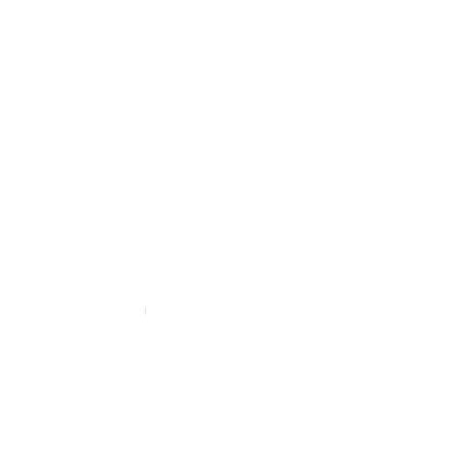 O=P(O)(O)OCCCS.O=[PH](O)O